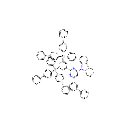 c1ccc(-c2ccc([Si](c3ccccc3)(c3ccc(-c4ccccc4)cc3)c3cc(-c4nc(-c5cccc(-c6ccccc6)c5)cc(-n5c6ccccc6c6ccccc65)n4)cc([Si](c4ccccc4)(c4ccc(-c5ccccc5)cc4)c4ccc(-c5ccccc5)cc4)c3)cc2)cc1